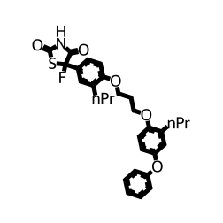 CCCc1cc(Oc2ccccc2)ccc1OCCCOc1ccc(C2(F)SC(=O)NC2=O)cc1CCC